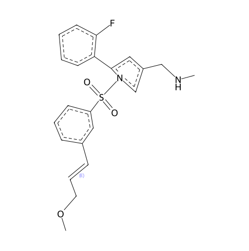 CNCc1cc(-c2ccccc2F)n(S(=O)(=O)c2cccc(/C=C/COC)c2)c1